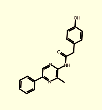 Cc1nc(-c2ccccc2)cnc1NC(=O)Cc1ccc(O)cc1